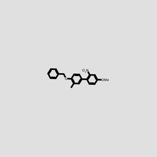 COc1ccc(-c2ccc(OCc3ccccc3)c(C)c2)c([N+](=O)[O-])c1